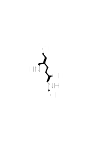 CC/C=C(\C=N)CC/C(C)=C/NCC